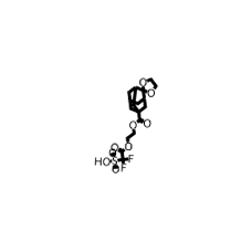 O=C(OCCOC(=O)C(F)(F)S(=O)(=O)O)C12CC3CC(C1)C1(OCCO1)C(C3)C2